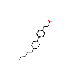 CCCCCC1CCC(c2ccc(C=CC(=O)O)cc2)CC1